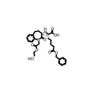 CCOC(=O)CN1C(=O)[C@@H](N[C@@H](CCCCC(=O)OCc2ccccc2)C(=O)O)CCc2ccccc21.Cl